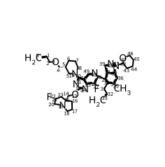 C=CCOC[C@@H]1CCCN(c2nc(OC[C@@]34CCCN3C[C@H](F)C4)nc3c(F)c(-c4c(CC=C)c(C)cc5c4cnn5C4CCCCO4)ncc23)C1